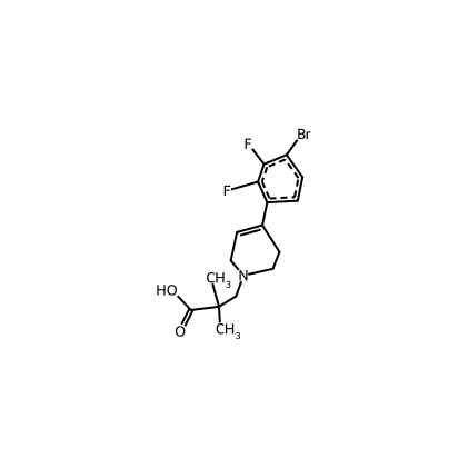 CC(C)(CN1CC=C(c2ccc(Br)c(F)c2F)CC1)C(=O)O